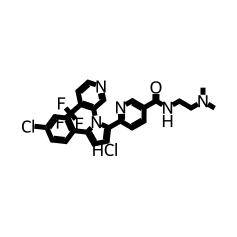 CN(C)CCNC(=O)c1ccc(-c2ccc(-c3ccc(Cl)cc3)n2-c2cnccc2C(F)(F)F)nc1.Cl